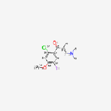 CC(=CN(C)C)C(=O)c1cc(I)c(OC(C)C)cc1Cl